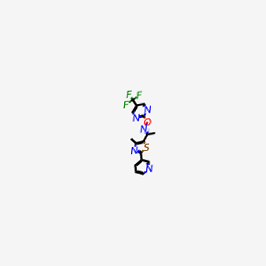 C/C(=N\Oc1ncc(C(F)(F)F)cn1)c1sc(-c2cccnc2)nc1C